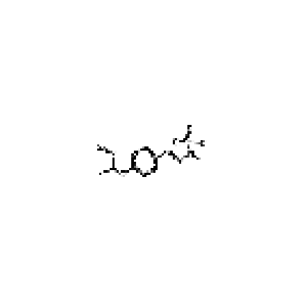 CC(Oc1ccc(/C=N/N(C)P(=S)(Cl)Cl)cc1)P=S